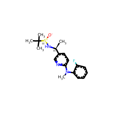 C[C@H](N[S@+]([O-])C(C)(C)C)c1ccc(N(C)c2ccccc2F)nc1